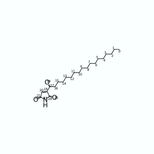 CCCCCCCCCCCCCCCCCC(=O)C1=CC(=O)NC1=O